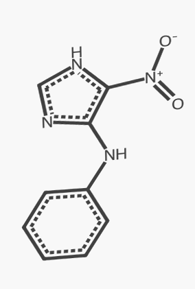 O=[N+]([O-])c1[nH]cnc1Nc1ccccc1